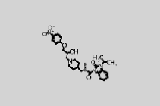 CC(C)n1c(=O)n(C(=O)NCC2CCN(CC(O)COc3ccc([N+](=O)[O-])cc3)CC2)c2ccccc21